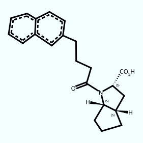 O=C(O)[C@@H]1C[C@@H]2CCC[C@@H]2N1C(=O)CCCc1ccc2ccccc2c1